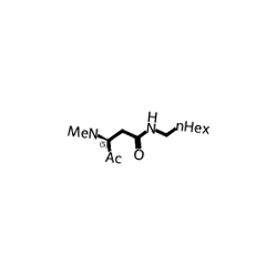 CCCCCCCNC(=O)C[C@H](NC)C(C)=O